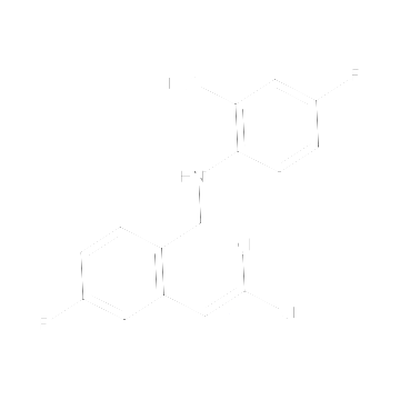 C/C(Cl)=C/c1cc(F)ccc1CNc1ccc(F)cc1C